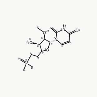 C=C1NC(=O)C=CN1[C@@H]1OC(CCP(=C)(C)C)[C@@H](O)[C@H]1OC